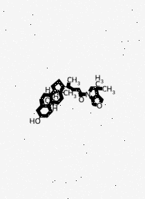 CC(CCC(=O)N1CC(C)(C)C2COCC21)[C@H]1CC[C@H]2[C@@H]3CC=C4C[C@@H](O)CC[C@]4(C)[C@H]3CC[C@]12C